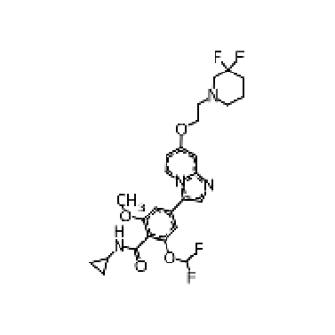 COc1cc(-c2cnc3cc(OCCN4CCCC(F)(F)C4)ccn23)cc(OC(F)F)c1C(=O)NC1CC1